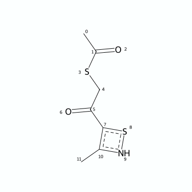 CC(=O)SCC(=O)c1s[nH]c1C